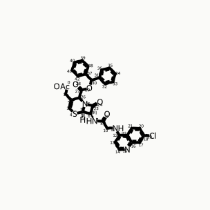 CC(=O)OCC1=CS[C@@H]2[C@H](NC(=O)CNc3ccnc4cc(Cl)ccc34)C(=O)N2C1C(=O)OC(c1ccccc1)c1ccccc1